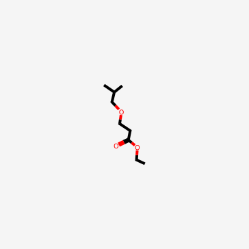 CCOC(=O)CCOCC(C)C